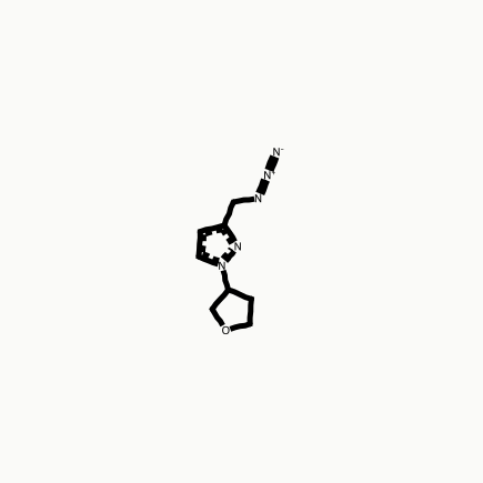 [N-]=[N+]=NCc1ccn(C2CCOC2)n1